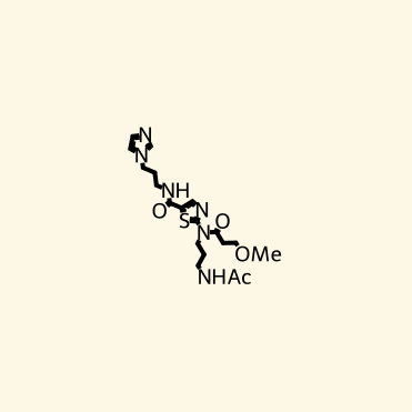 COCCC(=O)N(CCCNC(C)=O)c1ncc(C(=O)NCCCn2ccnc2)s1